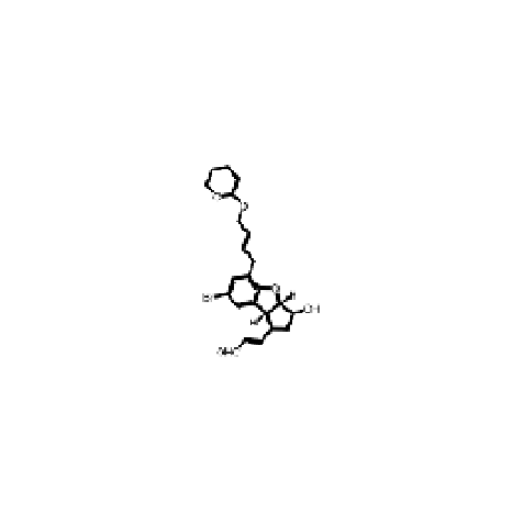 O=CC=CC1CC(O)[C@H]2Oc3c(CCCCOC4CCCCO4)cc(Br)cc3[C@@H]12